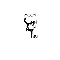 CC(C)(C)c1n[nH]c(CC(=O)O)n1